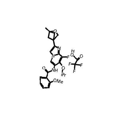 COc1ccccc1C(=O)Nc1cn2cc(C34COC(C)(C3)C4)nc2c(F)c1OC(C)C.O=C(O)C(F)(F)F